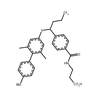 Cc1cc(SC(CCC(F)(F)F)c2ccc(C(=O)NCCC(=O)O)cc2)cc(C)c1-c1ccc(C(C)(C)C)cc1